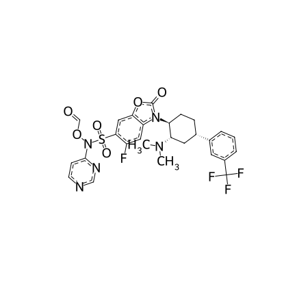 CN(C)[C@H]1C[C@@H](c2cccc(C(F)(F)F)c2)CC[C@@H]1n1c(=O)oc2cc(S(=O)(=O)N(OC=O)c3ccncn3)c(F)cc21